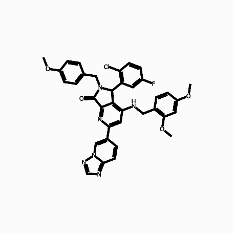 COc1ccc(CN2C(=O)c3nc(-c4ccc5ncnn5c4)cc(NCc4ccc(OC)cc4OC)c3C2c2cc(F)ccc2Cl)cc1